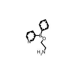 NCCOB(c1ccccc1)c1cccnc1